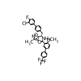 COc1ccc(-c2ccc(C(F)(F)F)cc2)cc1C(=O)N[C@H](Cc1ccc(-c2ccc(F)c(Cl)c2)cc1)c1nc(C)no1